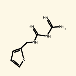 N=C(N)NC(=N)NCc1cccs1